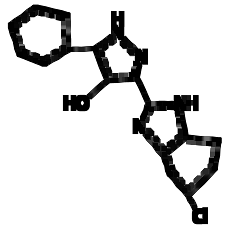 Oc1c(-c2nc3cc(Cl)ccc3[nH]2)n[nH]c1-c1ccccc1